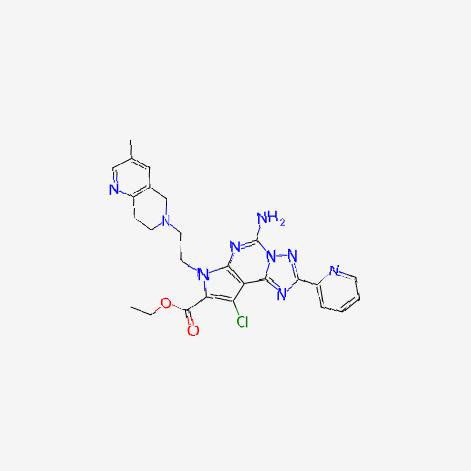 CCOC(=O)c1c(Cl)c2c(nc(N)n3nc(-c4ccccn4)nc23)n1CCN1CCc2ncc(C)cc2C1